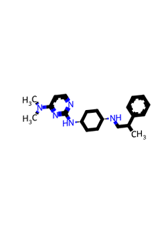 CC(CN[C@H]1CC[C@@H](Nc2nccc(N(C)C)n2)CC1)c1ccccc1